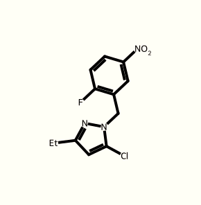 CCc1cc(Cl)n(Cc2cc([N+](=O)[O-])ccc2F)n1